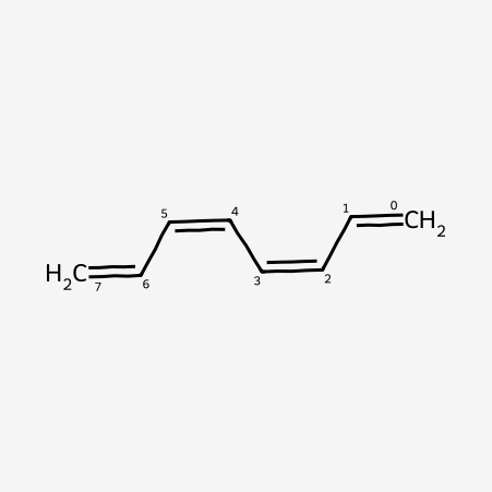 C=C/C=C\C=C/C=C